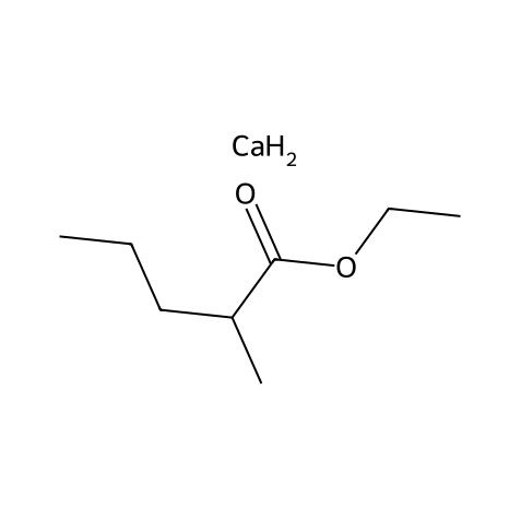 CCCC(C)C(=O)OCC.[CaH2]